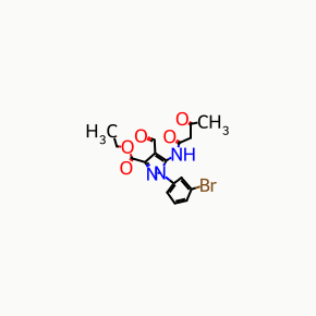 CCOC(=O)c1nn(-c2cccc(Br)c2)c(NC(=O)CC(C)=O)c1C=O